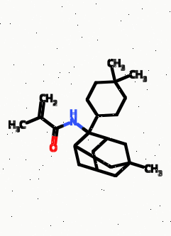 C=C(C)C(=O)NC1(C2CCC(C)(C)CC2)C2CC3CC1CC(C)(C3)C2